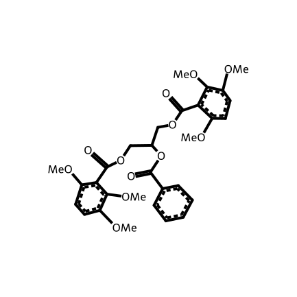 COc1ccc(OC)c(C(=O)OCC(COC(=O)c2c(OC)ccc(OC)c2OC)OC(=O)c2ccccc2)c1OC